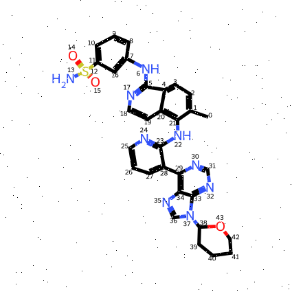 Cc1ccc2c(Nc3cccc(S(N)(=O)=O)c3)nccc2c1Nc1ncccc1-c1ncnc2c1ncn2C1CCCCO1